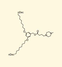 CCCCCCCCCCCCCCCCCCOc1cc(COC(=O)CCCN2CCN(C)CC2)cc(OCCCCCCCCCCCCCCCCCC)c1